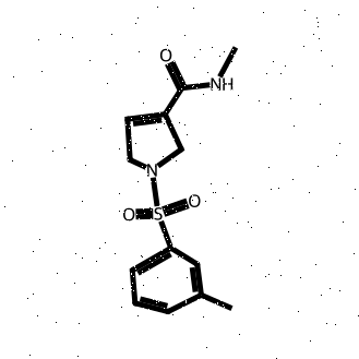 CNC(=O)C1=CCN(S(=O)(=O)c2cccc(C)c2)C1